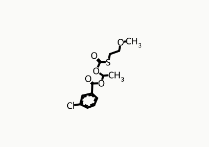 COCCSC(=O)OC(C)OC(=O)c1cccc(Cl)c1